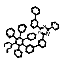 C=C/C=C(\C=C/C)c1c(-c2ccccc2)c(-c2ccccc2)c(-c2ccccc2)c(-c2cccc(-c3cccc(-c4nc(-c5ccccc5)nc(-c5cccc(-c6ccccc6)c5)n4)c3)c2)c1-c1ccccc1